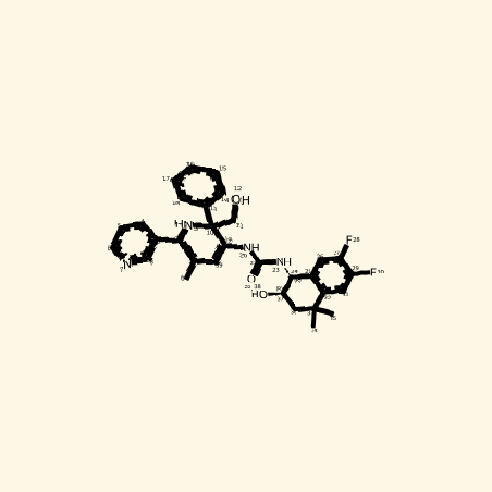 CC1=C(c2cccnc2)NC(CO)(c2ccccc2)C(NC(=O)N[C@@H]2c3cc(F)c(F)cc3C(C)(C)C[C@H]2O)=C1